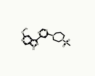 CC(C)Oc1cc2c(-c3cc(N4CCCN(S(C)(=O)=O)CC4)ncn3)n[nH]c2cn1